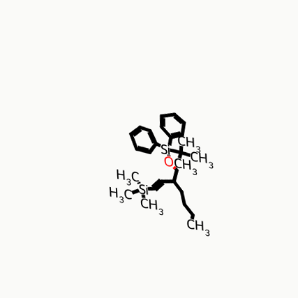 CCCCC(C#C[Si](C)(C)C)CO[Si](c1ccccc1)(c1ccccc1)C(C)(C)C